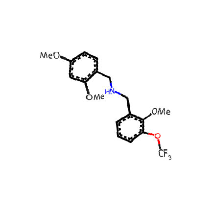 COc1ccc(CNCc2cccc(OC(F)(F)F)c2OC)c(OC)c1